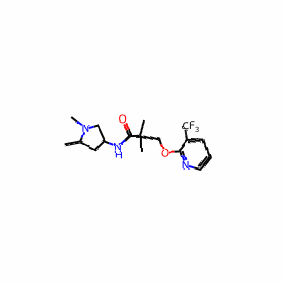 CC1CC(NC(=O)C(C)(C)COc2ncccc2C(F)(F)F)CN1C